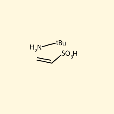 C=CS(=O)(=O)O.CC(C)(C)N